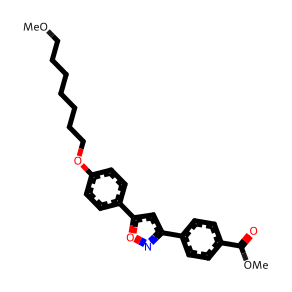 COCCCCCCCOc1ccc(-c2cc(-c3ccc(C(=O)OC)cc3)no2)cc1